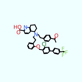 CC(=O)c1ccc(CCN(CCc2ccccc2OCc2ccc(-c3ccc(C(F)(F)F)cc3)cc2Cl)C2CCCc3nc(C(=O)O)ccc32)cc1